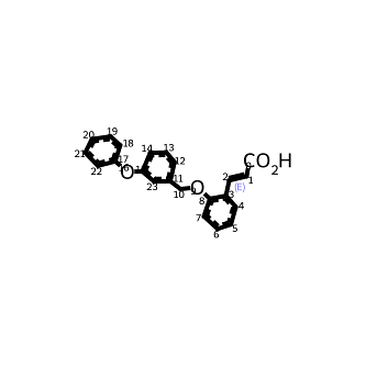 O=C(O)/C=C/c1ccccc1OCc1cccc(Oc2ccccc2)c1